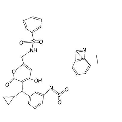 CC.O=c1oc(CNS(=O)(=O)c2ccccc2)cc(O)c1C(c1cccc(N=S(=O)=O)c1)C1CC1.c1cc2c3nc-2ccc3c1